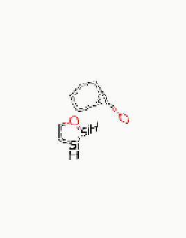 O=c1c2ccccc12.c1c[siH][siH]o1